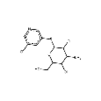 NC1C(O)C(CO)OC(Sc2cncc(Cl)c2)C1O